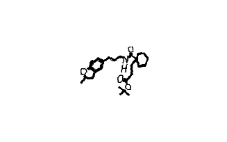 CC1Cc2cc(CCCNC(=O)C3(CCC(=O)OC(C)(C)C)CCCCC3)ccc2O1